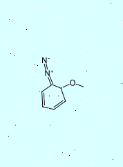 COC1C=CC=[C]C1=[N+]=[N-]